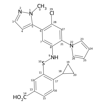 Cn1nccc1-c1cc(NSc2cc(C(=O)O)ccc2C2CC2)c(-n2cccc2)cc1Cl